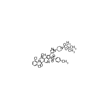 Cc1ccc(S(=O)(=O)n2c(-c3cnn(C4CCN(C(=O)OC(C)(C)C)CC4)c3)cc3c4c(cnc32)C(=O)N(c2c(Cl)cccc2Cl)CN4C)cc1